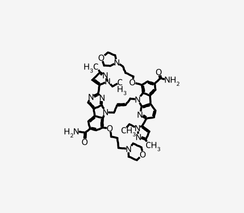 CCn1nc(C)cc1-c1ccc2c3cc(C(N)=O)cc(OCCCN4CCOCC4)c3n(C/C=C/Cn3c4nc(-c5cc(C)nn5CC)ncc4c4cc(C(N)=O)cc(OCCCN5CCOCC5)c43)c2n1